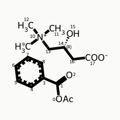 CC(=O)OC(=O)c1ccccc1.C[N+](C)(C)C[C@H](O)CC(=O)[O-]